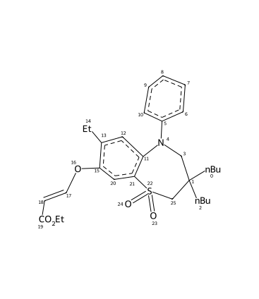 CCCCC1(CCCC)CN(c2ccccc2)c2cc(CC)c(O/C=C/C(=O)OCC)cc2S(=O)(=O)C1